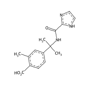 Cc1cc(C(C)(C)NC(=O)c2ncc[nH]2)ccc1C(=O)O